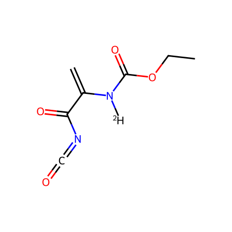 [2H]N(C(=C)C(=O)N=C=O)C(=O)OCC